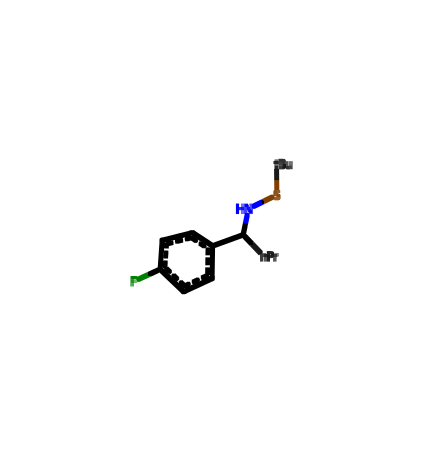 CCCC(NSC(C)(C)C)c1ccc(F)cc1